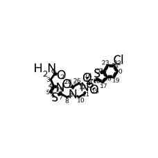 NC(=O)Cc1csc(CN2CCN(S(=O)(=O)c3cc4ccc(Cl)cc4s3)CC2=O)n1